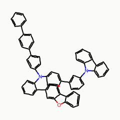 c1ccc(-c2ccc(-c3ccc(N(c4ccc(-c5cccc(-n6c7ccccc7c7ccccc76)c5)cc4)c4ccccc4-c4ccc5c(c4)oc4ccccc45)cc3)cc2)cc1